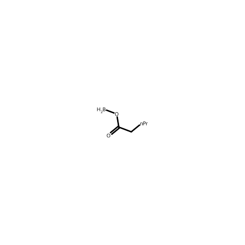 BOC(=O)CCCC